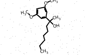 CCCCCCC(C)(O)c1cc(OC)cc(OC)c1